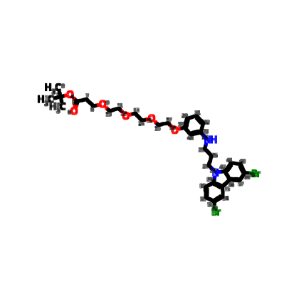 CC(C)(C)OC(=O)CCOCCOCCOCCOc1cccc(NCCCn2c3ccc(Br)cc3c3cc(Br)ccc32)c1